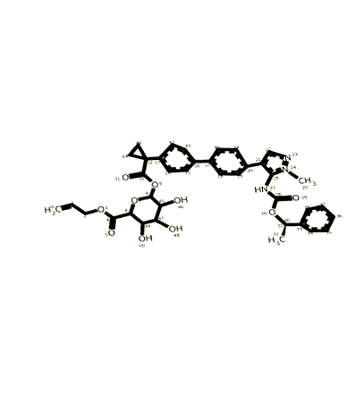 C=CCOC(=O)C1OC(OC(=O)C2(c3ccc(-c4ccc(-c5cnn(C)c5NC(=O)O[C@H](C)c5ccccc5)cc4)cc3)CC2)C(O)C(O)C1O